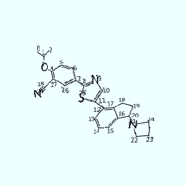 CC(C)Oc1ccc(-c2ncc(-c3cccc4c3CCC4N3CCC3)s2)cc1C#N